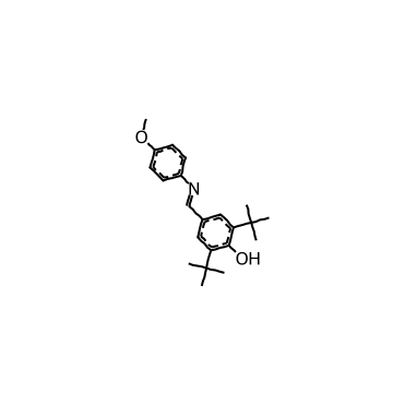 COc1ccc(/N=C/c2cc(C(C)(C)C)c(O)c(C(C)(C)C)c2)cc1